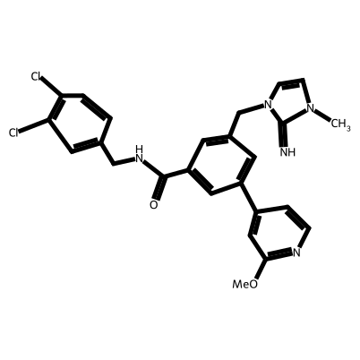 COc1cc(-c2cc(Cn3ccn(C)c3=N)cc(C(=O)NCc3ccc(Cl)c(Cl)c3)c2)ccn1